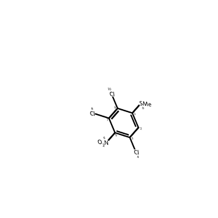 CSc1cc(Cl)c([N+](=O)[O-])c(Cl)c1Cl